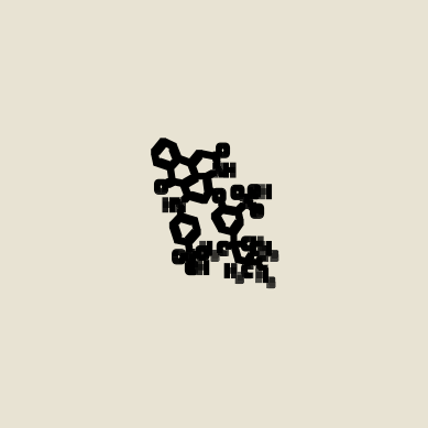 CC(C)(C)CC(C)(C)c1ccc(Oc2cc(Nc3ccc(S(=O)(=O)O)cc3)c3c4c(cc(=O)[nH]c24)-c2ccccc2C3=O)c(S(=O)(=O)O)c1